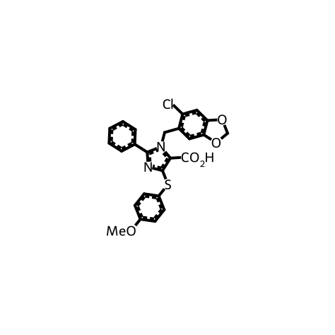 COc1ccc(Sc2nc(-c3ccccc3)n(Cc3cc4c(cc3Cl)OCO4)c2C(=O)O)cc1